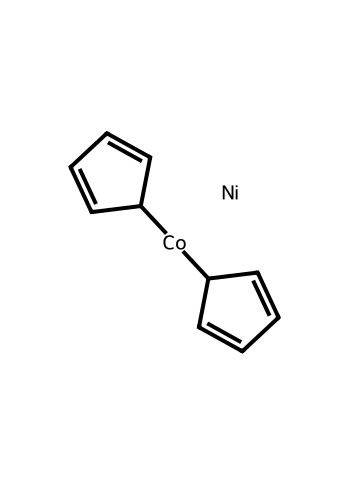 C1=C[CH]([Co][CH]2C=CC=C2)C=C1.[Ni]